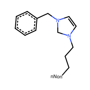 CCCCCCCCCCCCN1C=CN(Cc2ccccc2)C1